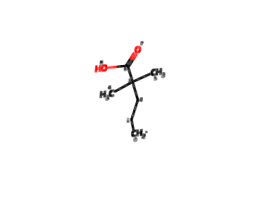 [CH2]CCC(C)(C)C(=O)O